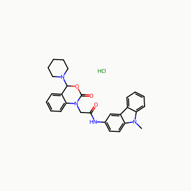 Cl.Cn1c2ccccc2c2cc(NC(=O)CN3C(=O)OC(N4CCCCC4)c4ccccc43)ccc21